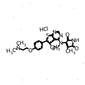 CC1=C(N(c2ncnc3sc(-c4ccc(OCCN(C)C)cc4)c(C)c23)C(C)C)C(=O)NC1=O.Cl